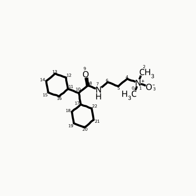 C[N+](C)([O-])CCCNC(=O)C(C1CCCCC1)C1CCCCC1